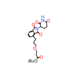 CC(C)COC(=O)CCOCCCc1cccc2c1C(=O)N(C1CCC(=O)NC1=O)C2=O